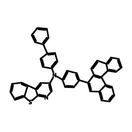 c1ccc(-c2ccc(N(c3ccc(-c4cc5ccccc5c5c4ccc4ccccc45)cc3)c3cnc4sc5ccccc5c4c3)cc2)cc1